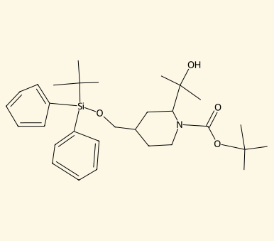 CC(C)(C)OC(=O)N1CCC(CO[Si](c2ccccc2)(c2ccccc2)C(C)(C)C)CC1C(C)(C)O